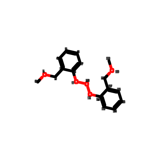 COCc1ccccc1OOOc1ccccc1COC